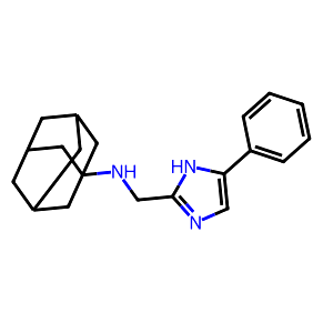 c1ccc(-c2cnc(CNC34CC5CC(CC(C5)C3)C4)[nH]2)cc1